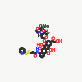 CO[C@H]1OCCN2[C@@H]1O[C@@H]1[C@H](C)O[C@@H](O[C@H]3C[C@H](C(=O)CO)Cc4c(O)c5c(c(O)c43)C(=O)c3c(NC(=O)CCSSc4ccccn4)cccc3C5=O)C[C@@H]12